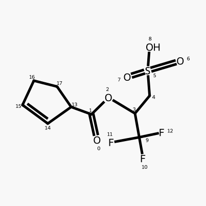 O=C(OC(CS(=O)(=O)O)C(F)(F)F)C1C=CCC1